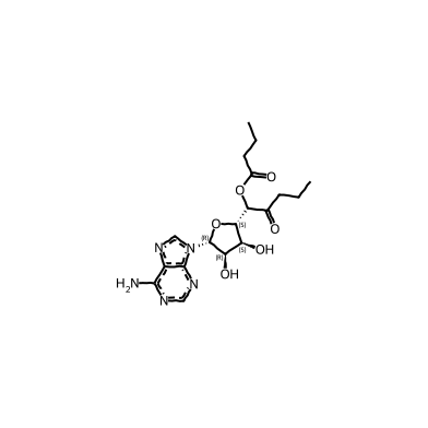 CCCC(=O)OC(C(=O)CCC)[C@H]1O[C@@H](n2cnc3c(N)ncnc32)[C@H](O)[C@@H]1O